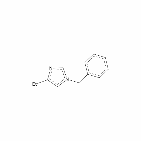 CCc1cn(Cc2ccccc2)cn1